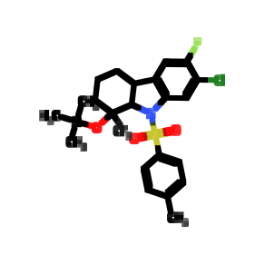 Cc1ccc(S(=O)(=O)N2c3cc(Cl)c(F)cc3C3CCCC(O[Si](C)(C)C)(C(F)(F)F)C32)cc1